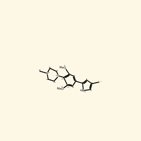 COc1cc(-c2cc(I)c[nH]2)cc(OC)c1N1CCN(C)CC1